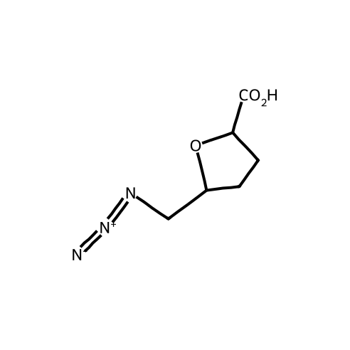 [N-]=[N+]=NCC1CCC(C(=O)O)O1